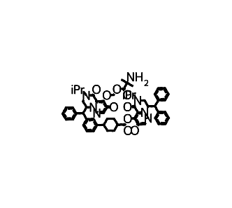 CC(C)N1CC(C(c2ccccc2)c2cccc(C3CCC(C(=O)Oc4c5n(ncc4=O)C(C(c4ccccc4)c4ccccc4)CN(C(C)C)C5=O)CC3)c2)n2ncc(=O)c(OCOC(=O)C(C)(C)N)c2C1=O